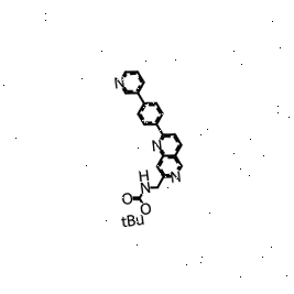 CC(C)(C)OC(=O)NCc1cc2nc(-c3ccc(-c4cccnc4)cc3)ccc2cn1